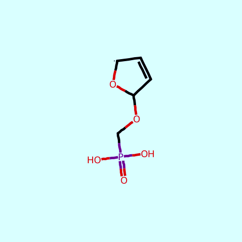 O=P(O)(O)COC1C=C[CH]O1